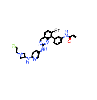 C=CC(=O)Nc1cccc(-c2c(CC)ccc3cnc(Nc4ccc(NC5CN(CCF)C5)nc4)nc23)c1